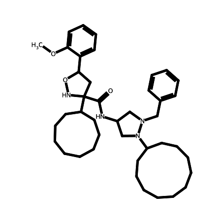 COc1ccccc1C1CC(C(=O)NC2CN(Cc3ccccc3)N(C3CCCCCCCCCC3)C2)(C2CCCCCCCC2)NO1